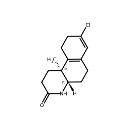 C[C@@]12CCC(=O)N[C@H]1CCC1=C2CCC(Cl)=C1